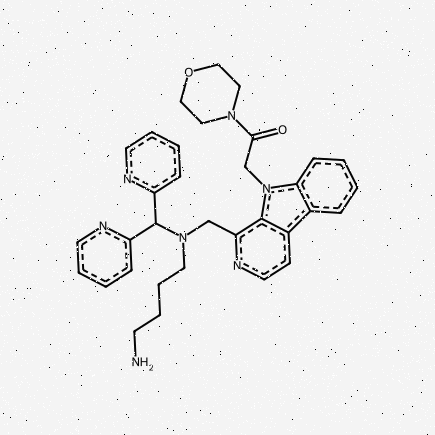 NCCCCN(Cc1nccc2c3ccccc3n(CC(=O)N3CCOCC3)c12)C(c1ccccn1)c1ccccn1